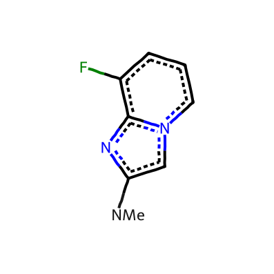 CNc1cn2cccc(F)c2n1